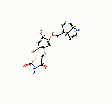 CN1C(=O)S/C(=C\c2cc(OCc3cccc4[nH]ccc34)c(O)cc2Br)C1=O